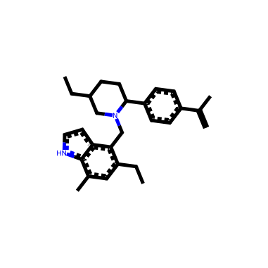 C=C(C)c1ccc(C2CCC(CC)CN2Cc2c(CC)cc(C)c3[nH]ccc23)cc1